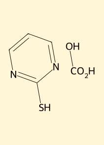 O=C(O)O.Sc1ncccn1